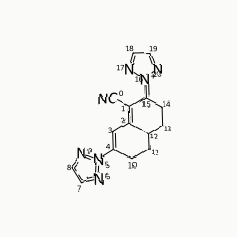 N#CC1=C2C=C(n3nccn3)CCC2CCC1=[N+]1N=CC=N1